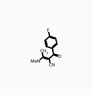 CNC(C)=C(C#N)C(=O)c1ccc(F)cc1